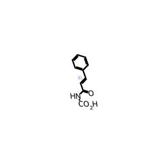 O=C(O)NC(=O)/C=C/c1ccccc1